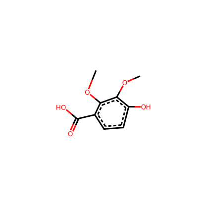 COc1c(O)ccc(C(=O)O)c1OC